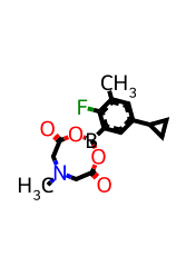 Cc1cc(C2CC2)cc(B2OC(=O)CN(C)CC(=O)O2)c1F